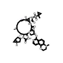 C[C@H]1CC/C=C\[C@@H]2C[C@@]2(C(=O)NS(=O)(=O)C2(C)CC2)NC(=O)[C@@H]2C[C@@H](Oc3nccc4c5c(ccc34)N(C)CCO5)CN2C(=O)[C@@H](N(C(=O)O)[C@H]2CC3C[C@H]3C2)[C@H](C)C1